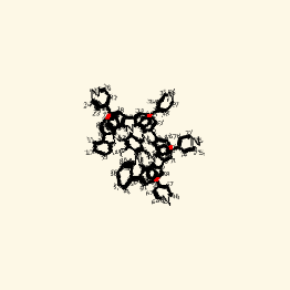 Fc1c(-n2c3ccccc3c3ccccc32)c(-n2c3ccc(-c4ccncc4)cc3c3cc(-c4ccncc4)ccc32)c(-n2c3ccccc3c3ccccc32)c(-n2c3ccc(-c4ccncc4)cc3c3cc(-c4ccncc4)ccc32)c1-n1c2ccccc2c2ccccc21